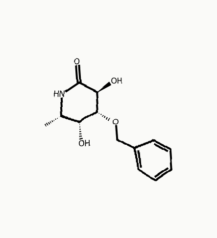 C[C@@H]1NC(=O)[C@@H](O)[C@H](OCc2ccccc2)[C@@H]1O